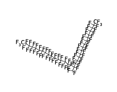 F[C](F)C(F)(C(F)(F)C(F)(F)C(F)(F)C(F)(F)C(F)(F)C(F)(F)C(F)(F)C(F)(F)C(F)(F)C(F)(F)C(F)(F)C(F)(F)C(F)(F)C(F)(F)F)C(F)(F)C(F)(F)C(F)(F)C(F)(F)C(F)(F)C(F)(F)C(F)(F)C(F)(F)C(F)(F)C(F)(F)C(F)(F)C(F)(F)C(F)(F)C(F)(F)C(F)(F)C(F)(F)F